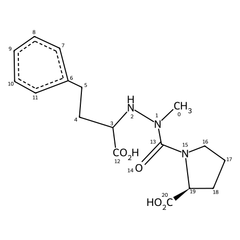 CN(NC(CCc1ccccc1)C(=O)O)C(=O)N1CCC[C@H]1C(=O)O